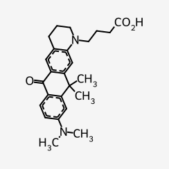 CN(C)c1ccc2c(c1)C(C)(C)c1cc3c(cc1C2=O)CCCN3CCCC(=O)O